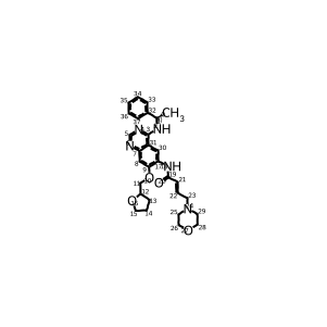 C[C@@H](Nc1ncnc2cc(OCC3CCCO3)c(NC(=O)C=CCN3CCOCC3)cc12)c1ccccc1